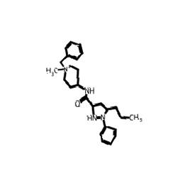 CCCC1CC(C(=O)NC2CC[N+](C)(Cc3ccccc3)CC2)NN1c1ccccc1